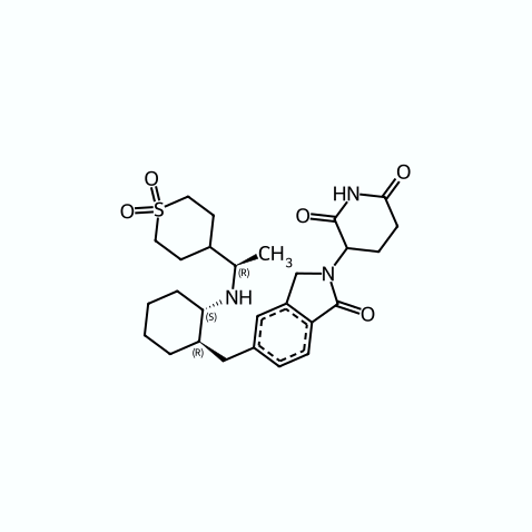 C[C@@H](N[C@H]1CCCC[C@@H]1Cc1ccc2c(c1)CN(C1CCC(=O)NC1=O)C2=O)C1CCS(=O)(=O)CC1